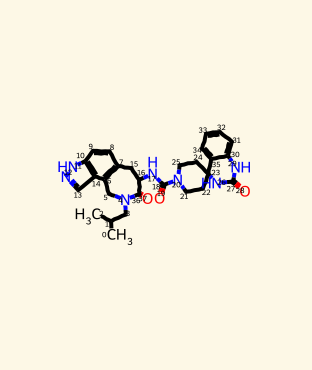 CC(C)CN1Cc2c(ccc3[nH]ncc23)CC(NC(=O)N2CCC3(CC2)NC(=O)Nc2ccccc23)C1=O